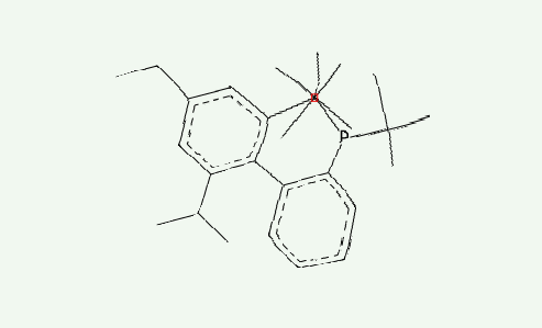 CCc1cc(C(C)C)c(-c2ccccc2P(C(C)(C)C)C(C)(C)C)c(C(C)C)c1